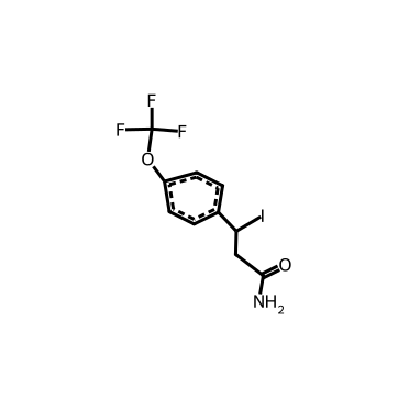 NC(=O)CC(I)c1ccc(OC(F)(F)F)cc1